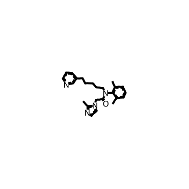 Cc1cccc(C)c1N(CCCCCc1cccnc1)C(=O)Cn1ccnc1C